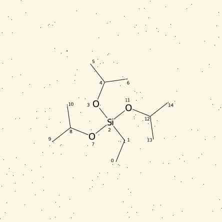 C[CH][Si](OC(C)C)(OC(C)C)OC(C)C